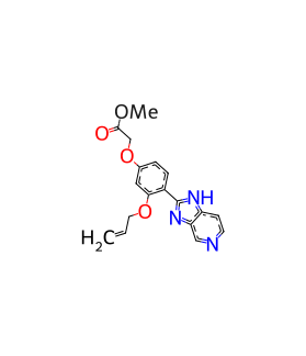 C=CCOc1cc(OCC(=O)OC)ccc1-c1nc2cnccc2[nH]1